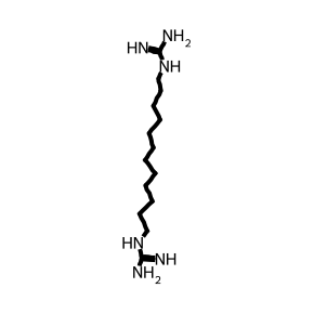 N=C(N)NCCCCCCCCCCCCNC(=N)N